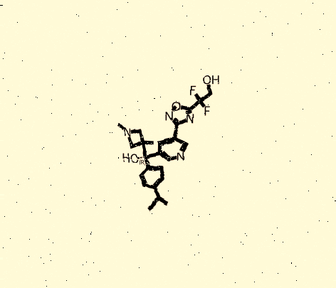 CC(C)c1ccc([C@](O)(c2cncc(-c3noc(C(F)(F)CO)n3)c2)C2(C)CN(C)C2)cc1